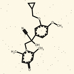 COc1ccc(C(O)(C#N)Cn2c(C)cc(=O)cc2C)cc1OCC1CC1